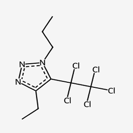 CCCn1nnc(CC)c1C(Cl)(Cl)C(Cl)(Cl)Cl